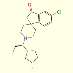 CC[C@H]([C@@H]1CC[C@H](C)C1)N1CCC2(CC1)CC(=O)c1cc(Cl)ccc12